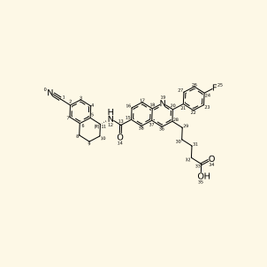 N#Cc1ccc2c(c1)CCC[C@H]2NC(=O)c1ccc2nc(-c3ccc(F)cc3)c(CCCCC(=O)O)cc2c1